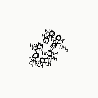 CN1CCOc2ccc(C3NNC4=C3NC=C(N3CC[C@@H]5[C@H](C3)[C@@]5(CN)c3ccccc3F)N4)c(Cl)c21.Cn1c(=O)[nH]c2ccc(-c3n[nH]c4nc(N5CC[C@@H]6[C@H](C5)[C@@]6(CN)c5ccccc5F)cnc34)cc21